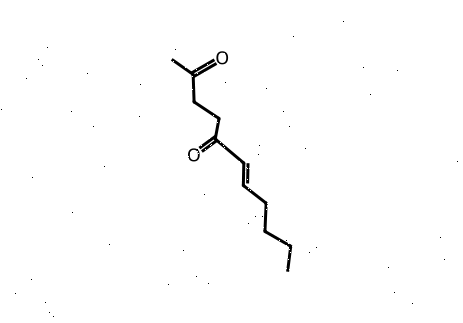 CCCC/C=C/C(=O)CCC(C)=O